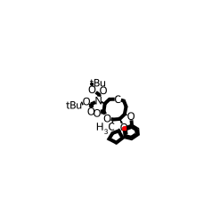 C[C@@H]1OC(=O)[C@@H](N(C(=O)OC(C)(C)C)C(=O)OC(C)(C)C)CCCC[C@H](Oc2ccccc2)[C@H]1OC1CCCC1